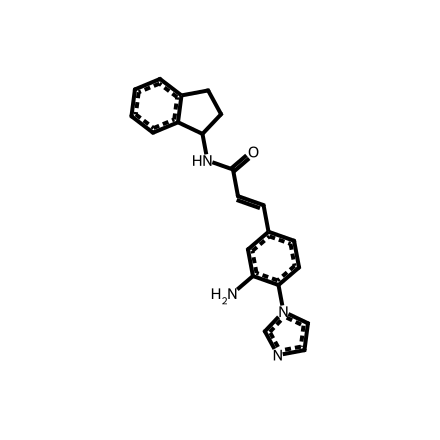 Nc1cc(C=CC(=O)NC2CCc3ccccc32)ccc1-n1ccnc1